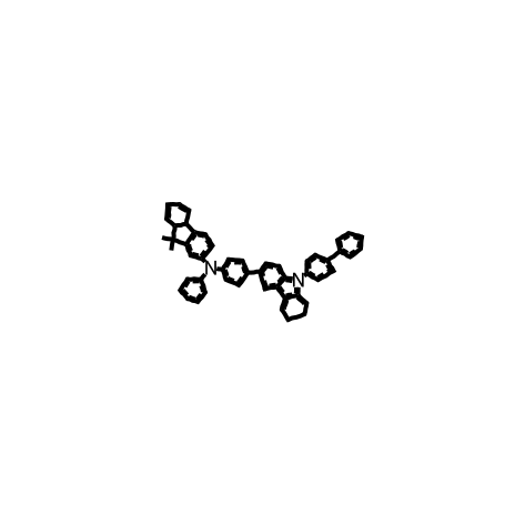 CC1(C)c2cc(N(c3ccccc3)c3ccc(-c4ccc5c(c4)c4c(n5-c5ccc(-c6ccccc6)cc5)=CCCC=4)cc3)ccc2C2C=CC=CC21